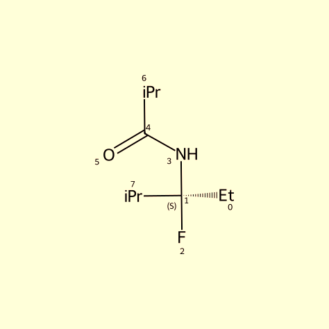 CC[C@@](F)(NC(=O)C(C)C)C(C)C